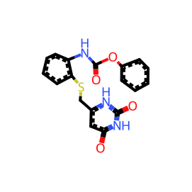 O=C(Nc1ccccc1SCc1cc(=O)[nH]c(=O)[nH]1)Oc1ccccc1